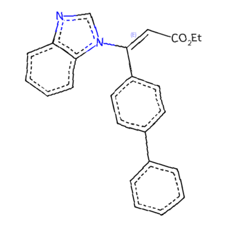 CCOC(=O)/C=C(\c1ccc(-c2ccccc2)cc1)n1cnc2ccccc21